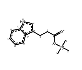 C[N+](C)(C)OC(=O)CCc1c[nH]c2ccccc12